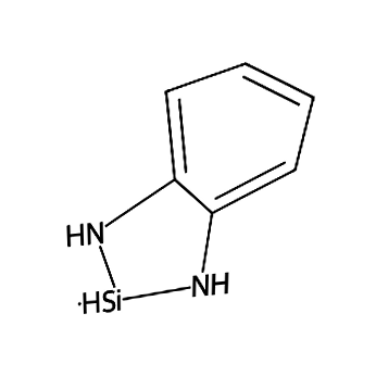 c1ccc2c(c1)N[SiH]N2